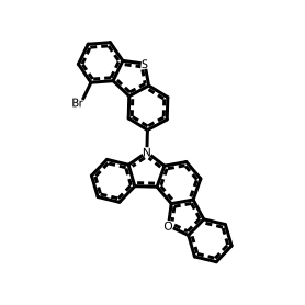 Brc1cccc2sc3ccc(-n4c5ccccc5c5c6oc7ccccc7c6ccc54)cc3c12